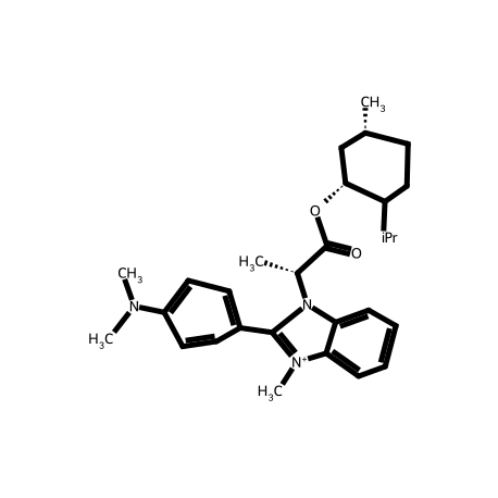 CC(C)C1CC[C@@H](C)C[C@H]1OC(=O)[C@@H](C)n1c(-c2ccc(N(C)C)cc2)[n+](C)c2ccccc21